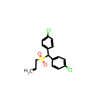 C=CCS(=O)(=O)C(c1ccc(Cl)cc1)c1ccc(Cl)cc1